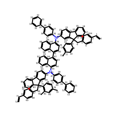 C=Cc1ccc(CC2(c3ccc(C)cc3)c3ccccc3-c3ccc(N(c4ccc(-c5ccccc5)cc4)c4ccc(-c5ccc(N(c6ccc(-c7ccccc7)cc6)c6ccc7c(c6)C(Cc6ccc(C=C)cc6)(c6ccc(C)cc6C)c6ccccc6-7)c6ccccc56)c5ccccc45)cc32)cc1